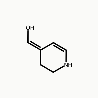 OC=C1C=CNCC1